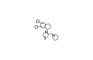 Clc1cc2c(cc1Cl)C(N1CCSCC1CN1CCCCC1)CCC2